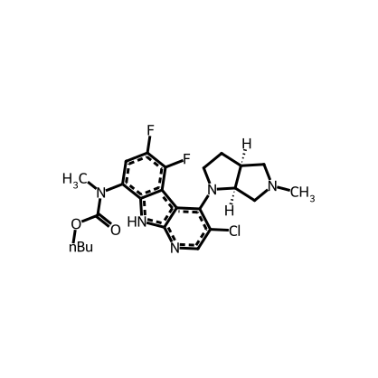 CCCCOC(=O)N(C)c1cc(F)c(F)c2c1[nH]c1ncc(Cl)c(N3CC[C@H]4CN(C)C[C@H]43)c12